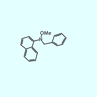 CON(Cc1ccccc1)c1cccc2ccccc12